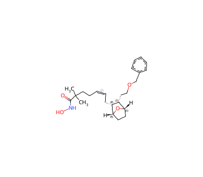 CC(C)(CC/C=C\C[C@@H]1[C@H](CCOCc2ccccc2)[C@@H]2CC[C@H]1O2)C(=O)NO